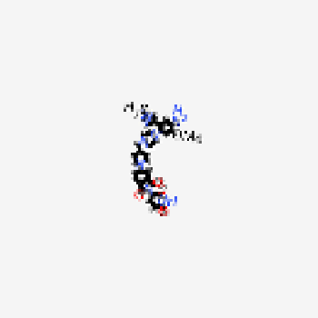 COc1cc(N2CCN(CC3CCN(c4ccc5c(c4)C(=O)N(C4CCC(=O)NC4=O)C5=O)CC3)CC2)c(-c2cnn(C)c2)cc1N